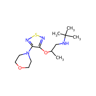 CC(CNC(C)(C)C)Oc1nsnc1N1CCOCC1